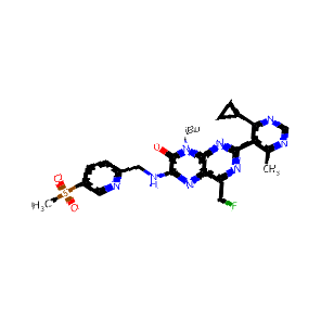 CC[C@@H](C)n1c(=O)c(NCc2ccc(S(C)(=O)=O)cn2)nc2c(CF)nc(-c3c(C)ncnc3C3CC3)nc21